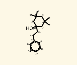 CC1(C)CC(C)(C)CC(O)(CCc2ccccc2)C1